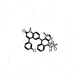 Cn1cnc(N)c1C(c1ccc2c(c1)c(-c1cccc(Cl)c1)cc(=O)n2C)c1ccccc1CNS(C)(=O)=O